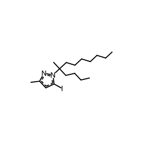 CCCCCCCC(C)(CCCC)n1nc(C)cc1I